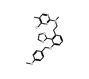 COc1ccc(COc2cccc(CCN(C)c3ncc(C)c(Cl)n3)c2C2OCCO2)cc1